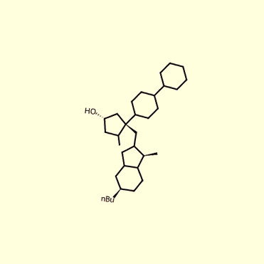 CCCC[C@@H]1CCC2C(CC(C[C@]3(C4CCC(C5CCCCC5)CC4)C[C@@H](O)CC3C)[C@H]2C)C1